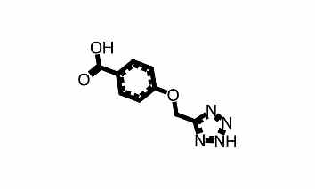 O=C(O)c1ccc(OCc2nn[nH]n2)cc1